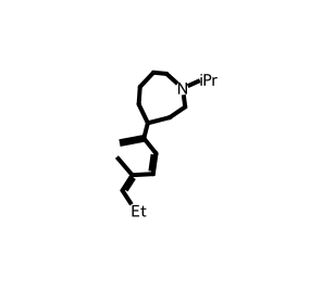 C=C(/C=C\C(C)=C/CC)C1CCCCN(C(C)C)CC1